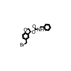 O=C(NCc1ccccc1)O[C@H]1COc2ccc(CBr)cc21